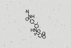 Cc1ccc(NC(=O)C2(c3ccc4c(c3)OCO4)CC2)cc1-c1ccc(C(=O)NCCN(C)C)cc1